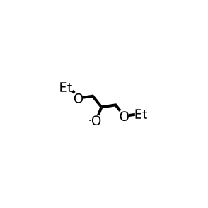 CCOCC([O])COCC